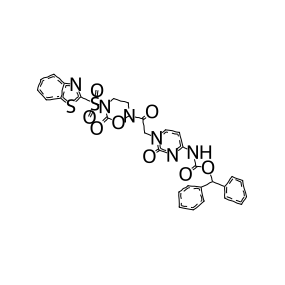 O=C(Nc1ccn(CC(=O)N2CCN(S(=O)(=O)c3nc4ccccc4s3)C(=O)O2)c(=O)n1)OC(c1ccccc1)c1ccccc1